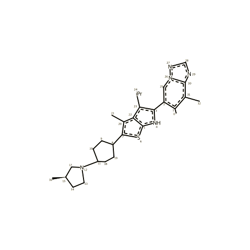 Cc1c(-c2[nH]c3sc(C4CCC(N5CC[C@@H](C)C5)CC4)c(C)c3c2C(C)C)cn2ncnc2c1C